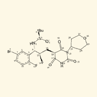 CC(C)(C)[S@@+]([O-])N[C@@H](c1cc(Br)ccc1F)[C@H](F)C[C@@H]1C(=O)NC(=O)N(C2CCOCC2)C1=O